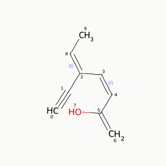 C#CC(/C=C\C(=C)O)=C/C